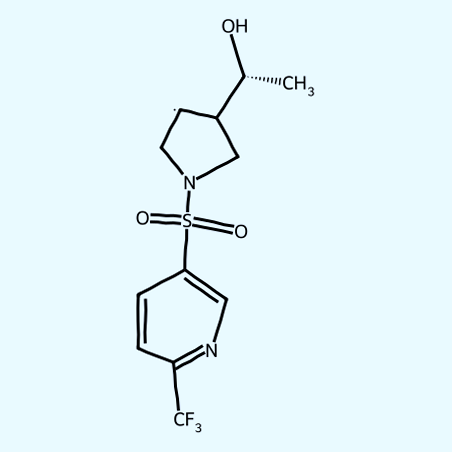 C[C@@H](O)C1[CH]CN(S(=O)(=O)c2ccc(C(F)(F)F)nc2)C1